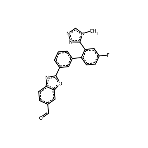 Cn1cnnc1-c1cc(F)ccc1-c1cccc(-c2nc3ccc(C=O)cc3o2)c1